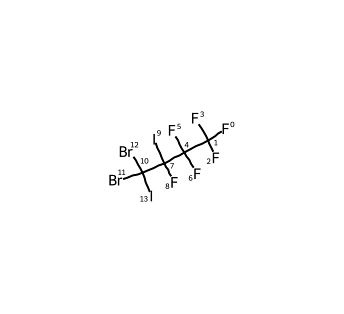 FC(F)(F)C(F)(F)C(F)(I)C(Br)(Br)I